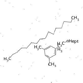 CCCCCCCC.CCCCCCCCCCCCCCCC.Cc1cc(C)cc(C)c1